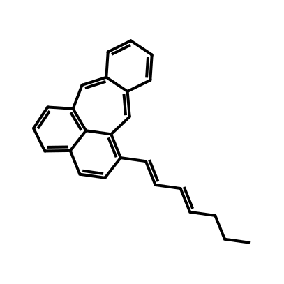 CCCC=CC=Cc1ccc2cccc3c2c1C=c1ccccc1=C3